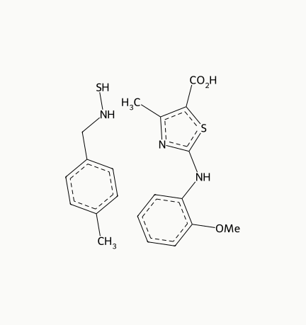 COc1ccccc1Nc1nc(C)c(C(=O)O)s1.Cc1ccc(CNS)cc1